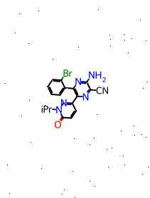 CC(C)n1nc(-c2nc(C#N)c(N)nc2-c2ccccc2Br)ccc1=O